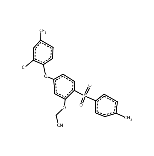 Cc1ccc(S(=O)(=O)c2ccc(Oc3ccc(C(F)(F)F)cc3Cl)cc2OCC#N)cc1